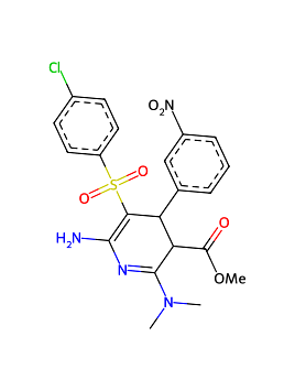 COC(=O)C1C(N(C)C)=NC(N)=C(S(=O)(=O)c2ccc(Cl)cc2)C1c1cccc([N+](=O)[O-])c1